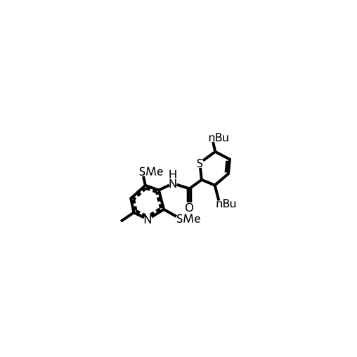 CCCCC1C=CC(CCCC)C(C(=O)Nc2c(SC)cc(C)nc2SC)S1